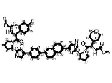 COC(=O)N[C@H](C(=O)N1CCC[C@H]1c1nc(-c2ccc3cc(-c4ccc(-c5cnc([C@@H]6CCCN6C(=O)[C@H](NC(=O)OC)c6ccc(F)cc6)[nH]5)cc4)ccc3c2)c[nH]1)C1CCOCC1